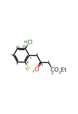 CCOC(=O)CC(=O)Cc1c(F)cccc1Cl